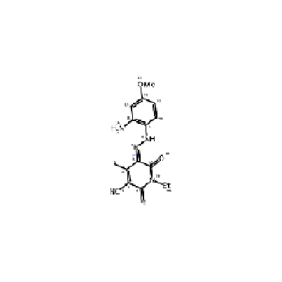 C=C1C(C#N)=C(C)/C(=N/Nc2ccc(OC)cc2N)C(=O)N1CC